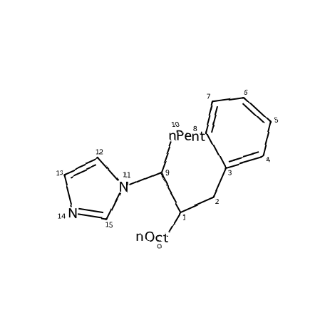 CCCCCCCCC(Cc1ccccc1)C(CCCCC)n1ccnc1